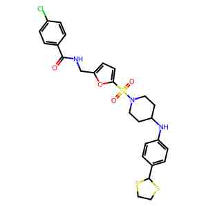 O=C(NCc1ccc(S(=O)(=O)N2CCC(Nc3ccc(C4SCCS4)cc3)CC2)o1)c1ccc(Cl)cc1